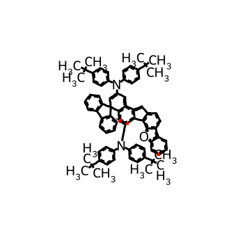 CC(C)(C)c1ccc(N(C2=CC3(c4ccccc4-c4ccccc43)c3c(c4c(c5cc(N(c6ccc(C(C)(C)C)cc6)c6ccc(C(C)(C)C)cc6)ccc35)-c3c(ccc5c3oc3ccccc35)C=4)=C2)c2ccc(C(C)(C)C)cc2)cc1